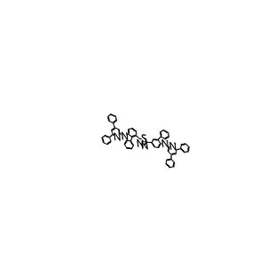 c1ccc(-c2cc(-c3ccccc3)nc(-n3c4ccccc4c4cc(-c5nnc(-c6cccc7c6c6ccccc6n7-c6cc(-c7ccccc7)cc(-c7ccccc7)n6)s5)ccc43)c2)cc1